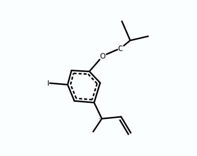 C=C[C](C)c1cc(I)cc(OCC(C)C)c1